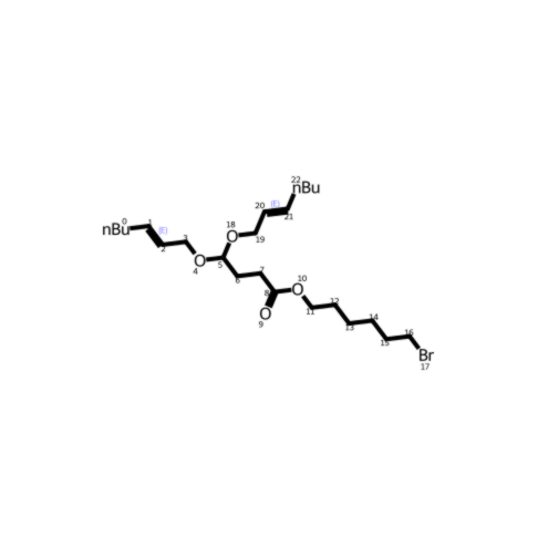 CCCC/C=C/COC(CCC(=O)OCCCCCCBr)OC/C=C/CCCC